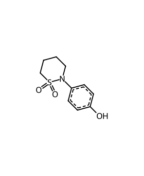 O=S1(=O)CCCCN1c1ccc(O)cc1